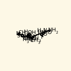 Cc1ncsc1-c1ccc([C@H](C)NC(=O)[C@@H]2C[C@@H](O)CN2C(=O)[C@@H](NC(=O)CCCCCc2cc(F)cc(NC(=O)[C@@H](N)CCC(N)=O)c2)C(C)(C)C)cc1